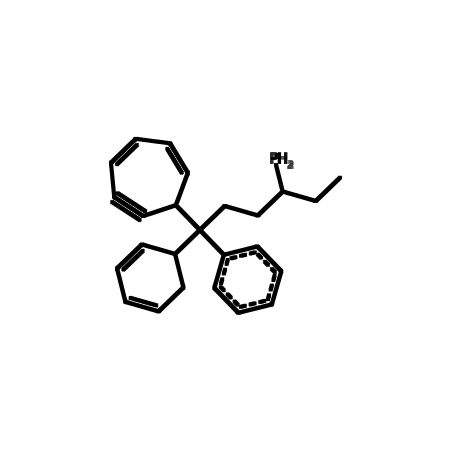 CCC(P)CCC(c1ccccc1)(C1C#CC=CC=C1)C1C=CC=CC1